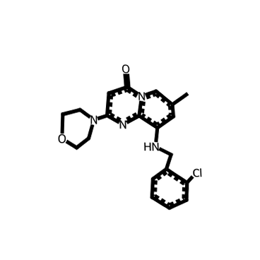 Cc1cc(NCc2ccccc2Cl)c2nc(N3CCOCC3)cc(=O)n2c1